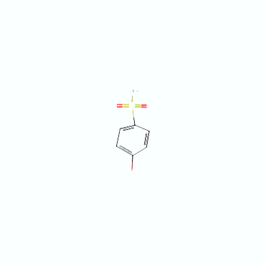 CC[C@H](C)S(=O)(=O)c1ccc(Br)cc1